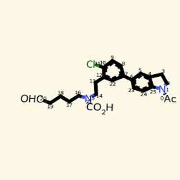 CC(=O)N1CCc2cc(-c3ccc(Cl)c(CCN(CCCCC=O)C(=O)O)c3)ccc21